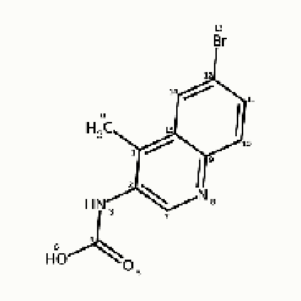 Cc1c(NC(=O)O)cnc2ccc(Br)cc12